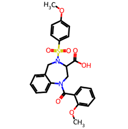 COc1ccc(S(=O)(=O)N2Cc3ccccc3N(C(=O)c3ccccc3OC)CC2C(=O)O)cc1